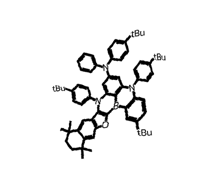 CC(C)(C)c1ccc(N(c2ccccc2)c2cc3c4c(c2)N(c2ccc(C(C)(C)C)cc2)c2c(oc5cc6c(cc25)C(C)(C)CCC6(C)C)B4c2cc(C(C)(C)C)ccc2N3c2ccc(C(C)(C)C)cc2)cc1